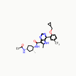 CCC(=O)N[C@@H]1CC[C@@H](NC(=O)c2c(C)[nH]c3c(-c4cc(C(F)(F)F)ccc4OCC4CC4)ncnc23)[C@H](C)C1